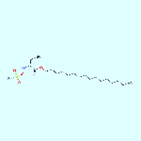 CCS(=O)(=O)ON[C@@H](CC(C)C)C(=O)OCCCCCCCCCCCCCCCC(C)C